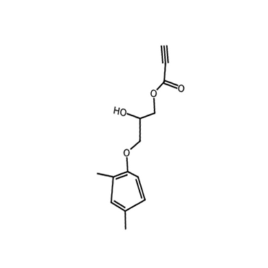 C#CC(=O)OCC(O)COc1ccc(C)cc1C